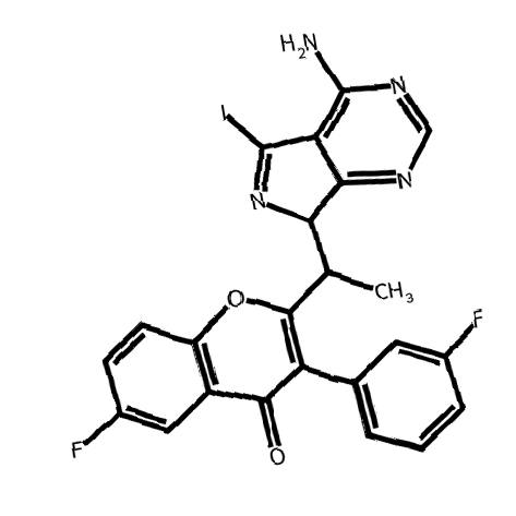 CC(c1oc2ccc(F)cc2c(=O)c1-c1cccc(F)c1)C1N=C(I)c2c(N)ncnc21